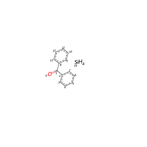 O=C(c1ccccc1)c1ccccc1.[SiH4]